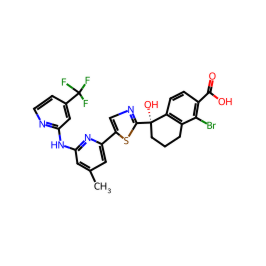 Cc1cc(Nc2cc(C(F)(F)F)ccn2)nc(-c2cnc([C@]3(O)CCCc4c3ccc(C(=O)O)c4Br)s2)c1